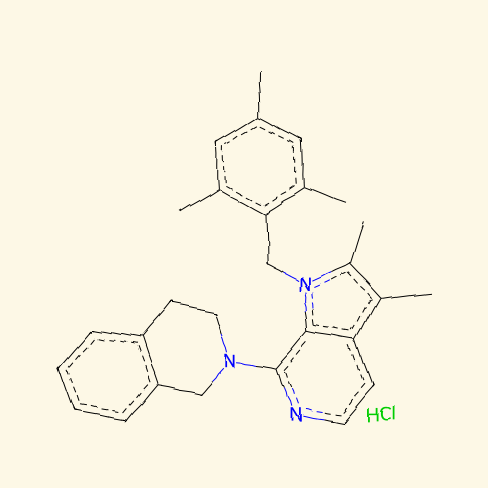 Cc1cc(C)c(Cn2c(C)c(C)c3ccnc(N4CCc5ccccc5C4)c32)c(C)c1.Cl